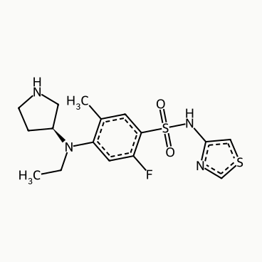 CCN(c1cc(F)c(S(=O)(=O)Nc2cscn2)cc1C)[C@H]1CCNC1